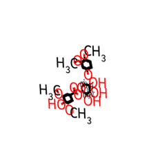 COc1ccc(OC[C@H]2OC(OC(=O)c3cc(OC)c(O)c(OC)c3)[C@H](O)[C@@H](O)[C@@H]2O)cc1OC